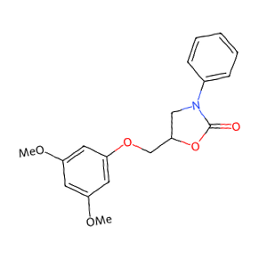 COc1cc(OC)cc(OCC2CN(c3ccccc3)C(=O)O2)c1